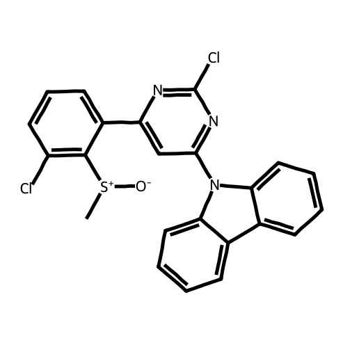 C[S+]([O-])c1c(Cl)cccc1-c1cc(-n2c3ccccc3c3ccccc32)nc(Cl)n1